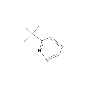 CC(C)(C)c1[c]ncnn1